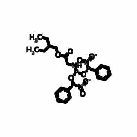 CCC(CC)COC(=O)CNP(OP(c1ccccc1)[N+](=O)[O-])OP(c1ccccc1)[N+](=O)[O-]